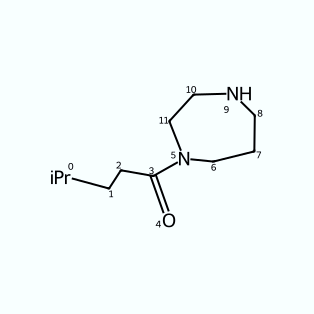 CC(C)CCC(=O)N1CCCNCC1